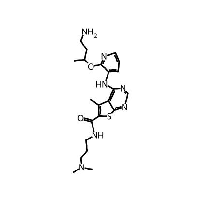 Cc1c(C(=O)NCCCN(C)C)sc2ncnc(Nc3cccnc3OC(C)CCN)c12